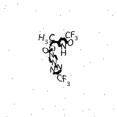 C[C@@H](COC(=O)N1CCN(c2ncc(C(F)(F)F)cn2)CC1)c1c[nH]c(=O)c(C(F)(F)F)c1